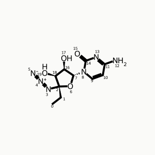 CC[C@]1(N=[N+]=[N-])O[C@@H](n2ccc(N)nc2=O)[C@H](O)[C@@H]1O